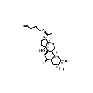 C=CCCO/N=C(/C)[C@H]1CC[C@@]2(O)C3=CC(=O)C4C[C@@H](O)[C@@H](O)C[C@]4(C)C3CC[C@]12C